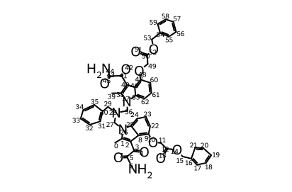 Cc1c(C(=O)C(N)=O)c2c(OCC(=O)OCc3ccccc3)cccc2n1CN(Cc1ccccc1)Cn1c(C)c(C(=O)C(N)=O)c2c(OCC(=O)OCc3ccccc3)cccc21